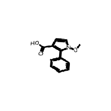 COn1ccc(C(=O)O)c1-c1ccccc1